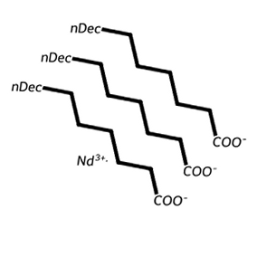 CCCCCCCCCCCCCCCC(=O)[O-].CCCCCCCCCCCCCCCC(=O)[O-].CCCCCCCCCCCCCCCC(=O)[O-].[Nd+3]